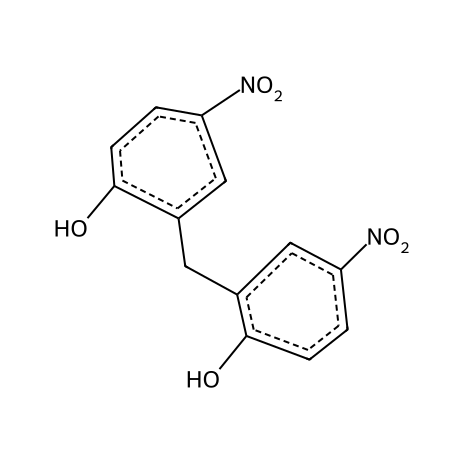 O=[N+]([O-])c1ccc(O)c(Cc2cc([N+](=O)[O-])ccc2O)c1